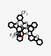 FC(F)(F)c1ccc(-n2c3ccccc3c3c4oc5ccccc5c4ccc32)c(-c2nc(-c3ccccc3)nc(-c3cc(C(F)(F)F)ccc3-n3c4ccccc4c4c5oc6ccccc6c5ccc43)n2)c1